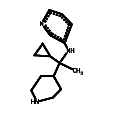 CC(Nc1cccnc1)(C1CCNCC1)C1CC1